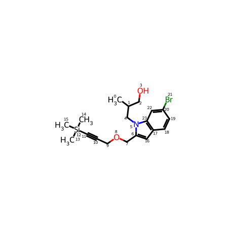 CC(CO)Cn1c(COCC#C[Si](C)(C)C)cc2ccc(Br)cc21